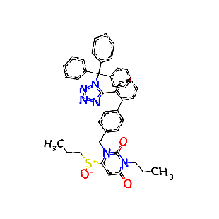 CCCn1c(=O)cc([S+]([O-])CCC)n(Cc2ccc(-c3ccccc3-c3nnnn3C(c3ccccc3)(c3ccccc3)c3ccccc3)cc2)c1=O